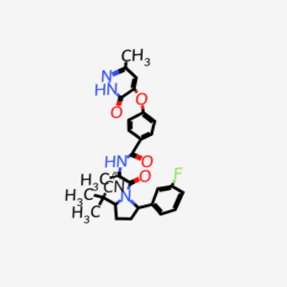 Cc1cc(Oc2ccc(C(=O)N[C@H](C)C(=O)N3C(c4cccc(F)c4)CCC3C(C)(C)C#N)cc2)c(=O)[nH]n1